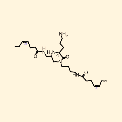 CC/C=C\CCC(=O)NCCCCN(CCCNC(=O)CC/C=C\CC)C(=O)[C@@H](N)CCCN